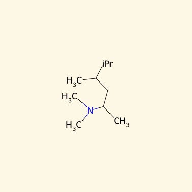 CC(C)C(C)CC(C)N(C)C